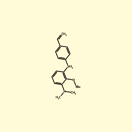 C=Cc1ccc([SiH2]c2cccc(N(C)C)c2OC(C)(C)C)cc1